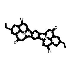 CCc1cc2c(=O)cc3c4cc5c(cc4c4cc(=O)c(c1)c2n34)c1cc(=O)c2cc(CC)cc3c(=O)cc5n1c32